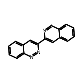 [c]1nc(-c2cc3ccccc3nn2)cc2ccccc12